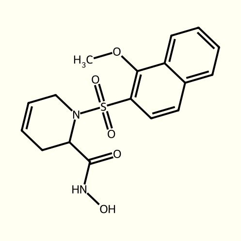 COc1c(S(=O)(=O)N2CC=CCC2C(=O)NO)ccc2ccccc12